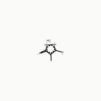 CCc1[nH][nH]c(=S)c1C.Cl